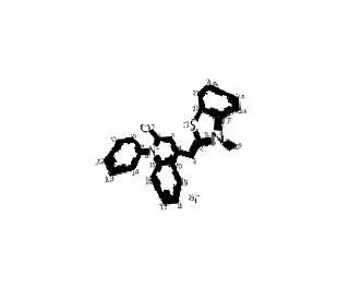 CN1/C(=C/c2cc(Cl)[n+](-c3ccccc3)c3ccccc23)Sc2ccccc21.[I-]